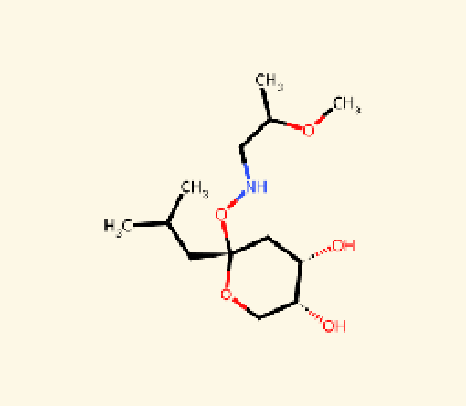 COC(C)CNO[C@]1(CC(C)C)C[C@H](O)[C@H](O)CO1